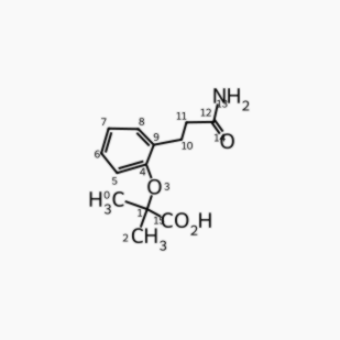 CC(C)(Oc1ccccc1CCC(N)=O)C(=O)O